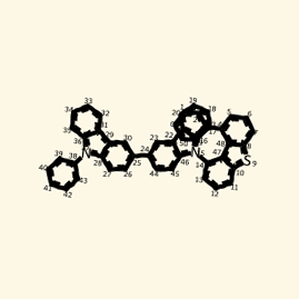 c1ccc(-c2cccc3sc4cccc(-n5c6ccccc6c6cc(-c7ccc8c(c7)c7ccccc7n8-c7ccccc7)ccc65)c4c23)cc1